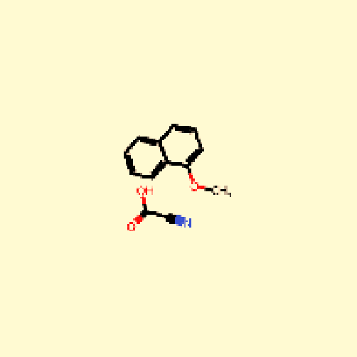 COc1cccc2ccccc12.N#CC(=O)O